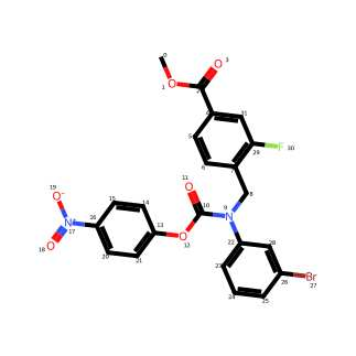 COC(=O)c1ccc(CN(C(=O)Oc2ccc([N+](=O)[O-])cc2)c2cccc(Br)c2)c(F)c1